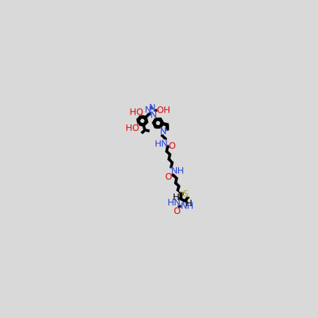 CC(C)c1cc(-c2nnc(O)n2-c2ccc3c(ccn3CCNC(=O)CCCCCNC(=O)CCCC[C@H]3SC[C@@H]4NC(=O)N[C@@H]43)c2)c(O)cc1O